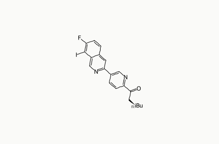 CC[C@H](C)CC(=O)c1ccc(-c2cc3ccc(F)c(I)c3cn2)cn1